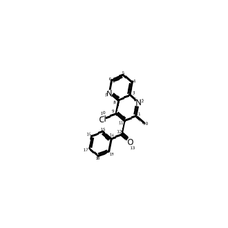 Cc1nc2cccnc2c(Cl)c1C(=O)c1ccccc1